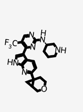 FC(F)(F)c1cnc(N[C@H]2CCCNC2)nc1-c1c[nH]c2nc(C34CCOCC3C4)ccc12